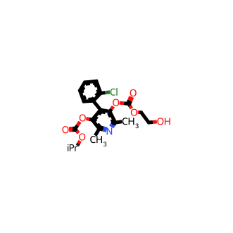 Cc1nc(C)c(OC(=O)OC(C)C)c(-c2ccccc2Cl)c1OC(=O)OCCO